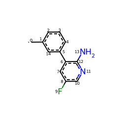 [CH2]c1cccc(-c2cc(F)cnc2N)c1